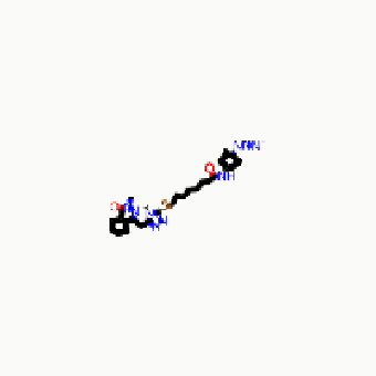 Cn1c(Cc2nn(C)c(=O)c3ccccc23)nnc1SCCCCCCCC(=O)Nc1ccc(N=[N+]=[N-])cc1